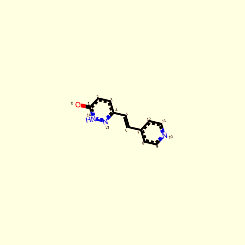 O=c1ccc(C=Cc2ccncc2)n[nH]1